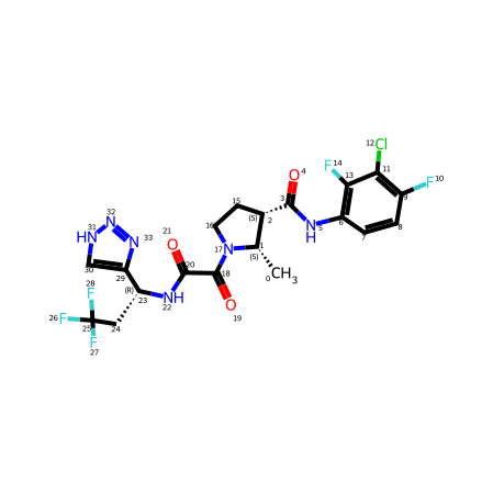 C[C@H]1[C@@H](C(=O)Nc2ccc(F)c(Cl)c2F)CCN1C(=O)C(=O)N[C@H](CC(F)(F)F)c1c[nH]nn1